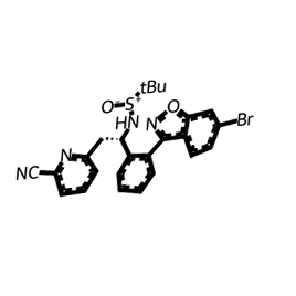 CC(C)(C)[S+]([O-])N[C@@H](Cc1cccc(C#N)n1)c1ccccc1-c1noc2cc(Br)ccc12